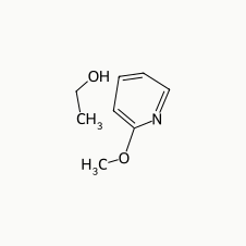 CCO.COc1ccccn1